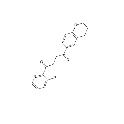 O=C(CCC(=O)c1ncccc1F)c1ccc2c(c1)CCCO2